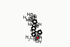 C=c1cc2c(cc1S(=O)(=O)O)=C(c1ccccc1S(=O)(=O)O)c1cc(S(=O)(=O)O)c(Nc3cccc(S(=O)(=O)O)c3NC)cc1O2